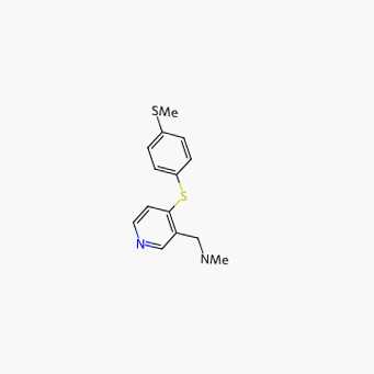 CNCc1cnccc1Sc1ccc(SC)cc1